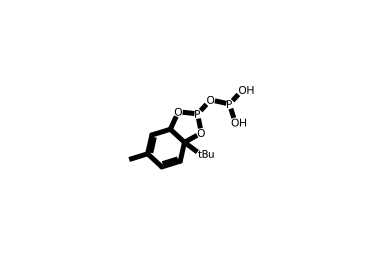 CC1=CC2OP(OP(O)O)OC2(C(C)(C)C)C=C1